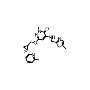 Cc1cccc([C@@H]2CC2COc2cc(NCc3ncc(C)s3)c(=O)n(C)n2)n1